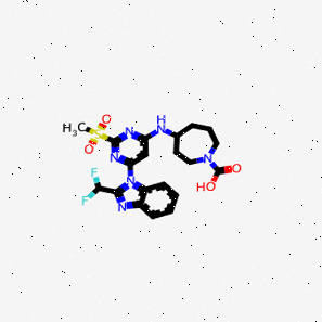 CS(=O)(=O)c1nc(NC2CCCN(C(=O)O)CC2)cc(-n2c(C(F)F)nc3ccccc32)n1